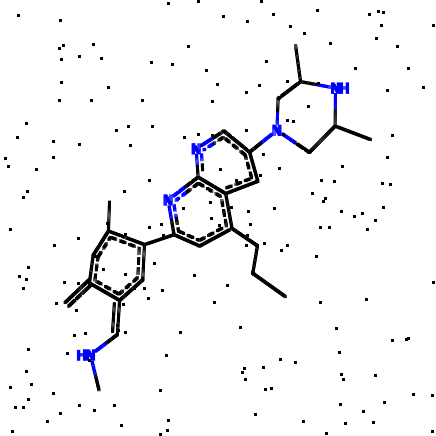 C=c1cc(C)c(-c2cc(CCC)c3cc(N4CC(C)NC(C)C4)cnc3n2)c/c1=C/NC